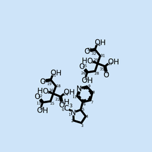 CN1CCCC1c1cccnc1.O=C(O)CC(O)(CC(=O)O)C(=O)O.O=C(O)CC(O)(CC(=O)O)C(=O)O